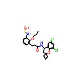 CCCOc1c(CCC(=O)NC2CC3(CCC3)Oc3c(Cl)cc(Cl)cc32)cccc1NSO